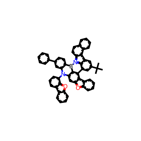 CC(C)(C)c1cc2c3c(c1)c1c4ccccc4ccc1n3B1c3ccc(-c4ccccc4)cc3N(c3cccc4c3oc3ccccc34)c3cc4oc5ccccc5c4c-2c31